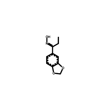 CC/C(=N\O)c1ccc2c(c1)OCO2